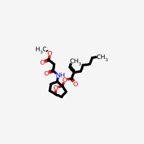 CC=C(CCCCC)C(=O)OC12CCC(CCC1NC(=O)CC(=O)OC)O2